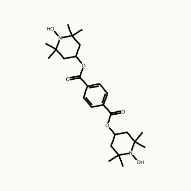 CC1(C)CC(OC(=O)c2ccc(C(=O)OC3CC(C)(C)N(O)C(C)(C)C3)cc2)CC(C)(C)N1O